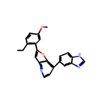 CCc1ccc(OC)cc1-c1cc2nccc(-c3ccc4[nH]cnc4c3)c2o1